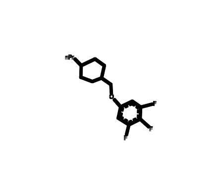 CCCC1CCC(COc2cc(F)c(F)c(F)c2)CC1